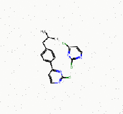 CC(C)Cc1ccc(-c2ccnc(Cl)n2)cc1.Clc1ccnc(Cl)n1